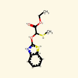 CCOC(=O)C(Oc1nc2ccccc2s1)SC